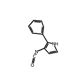 O=C=Nc1cc[nH]c1-c1ccccc1